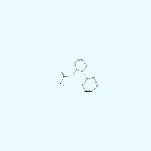 CC(O)(C(=O)Nc1ccccc1-c1ccccc1)C(F)(F)F